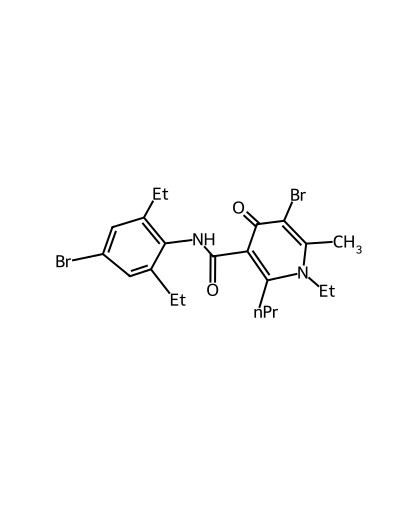 CCCc1c(C(=O)Nc2c(CC)cc(Br)cc2CC)c(=O)c(Br)c(C)n1CC